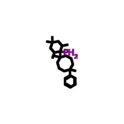 CC1CC(C)(C)CC(C)C1(P)C1(C)CCCC(C)(c2ccccc2)CCC1